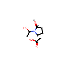 CC(=O)O.CC(O)N1CCCC1=O